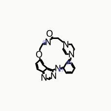 O=C1CN2C=CN(/C=c3\cccc\c3=N/c3ncnc4ccc(cc34)OC/C=N/1)CC2